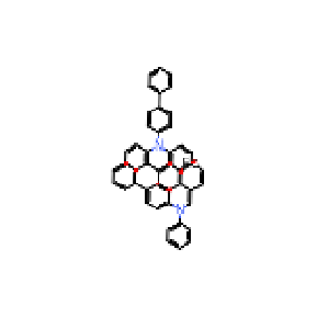 CC/C=C\C(=C\N(c1ccccc1)c1ccc(-c2ccccc2)cc1)C1=CC=C(C2=C(N(c3ccccc3)c3ccc(-c4ccccc4)cc3)C=CCC2)CC1